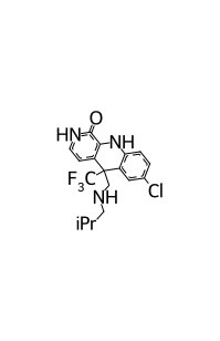 CC(C)CNCC1(C(F)(F)F)c2cc(Cl)ccc2Nc2c1cc[nH]c2=O